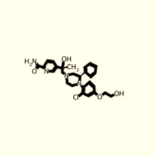 C[C@@](O)(CN1CCN(c2ccc(OCCO)cc2Cl)[C@H](c2ccccc2)C1)c1ccc(C(N)=O)nc1